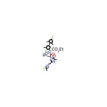 CCOC(=O)C[C@H](NC(=O)[C@H](CC(C)C)n1cc(CCN2CC(C)(F)C2)nc(C)c1=O)c1cc(-c2c(C)cc(F)cc2C)cc(C)c1F